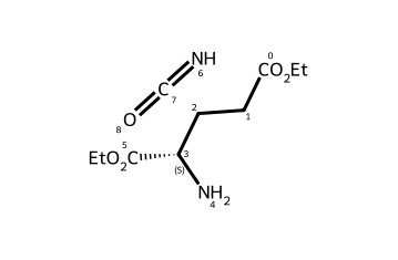 CCOC(=O)CC[C@H](N)C(=O)OCC.N=C=O